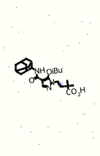 CC(C)COc1c(C(=O)NC2C3CC4CC(C3)CC2C4)cnn1/C=C/C(C)(C)C(=O)O